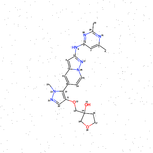 Cc1cc(Nc2cc3cc(-c4c(OCC5(O)CCOC5)cnn4C)ccn3n2)nc(C)n1